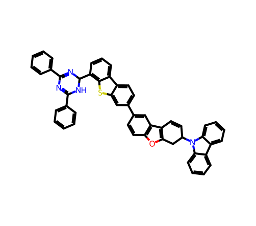 C1=CC(n2c3ccccc3c3ccccc32)Cc2oc3ccc(-c4ccc5c(c4)sc4c(C6N=C(c7ccccc7)N=C(c7ccccc7)N6)cccc45)cc3c21